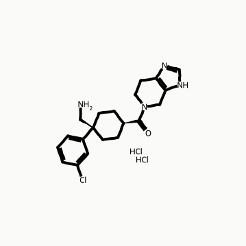 Cl.Cl.NC[C@]1(c2cccc(Cl)c2)CC[C@H](C(=O)N2CCc3nc[nH]c3C2)CC1